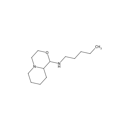 CCCCCNC1OCCN2CCCCC12